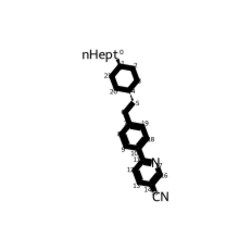 CCCCCCC[C@H]1CC[C@H](CCc2ccc(-c3ccc(C#N)cn3)cc2)CC1